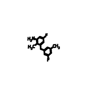 Cc1cc(F)cc(Cc2cc(F)cc(N)c2C)c1